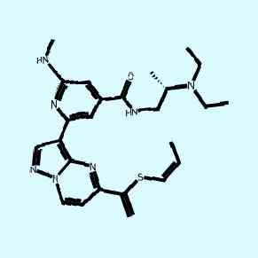 C=C(S/C=C\C)c1ccn2ncc(-c3cc(C(=O)NC[C@H](C)N(CC)CC)cc(NC)n3)c2n1